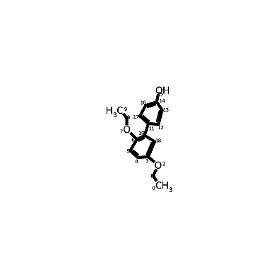 CCOc1ccc(OCC)c(-c2ccc(O)cc2)c1